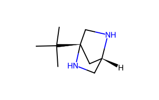 CC(C)(C)[C@]12CN[C@H](CN1)C2